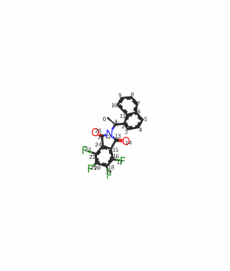 C[C@@H](c1cccc2ccccc12)N1C(=O)c2c(F)c(F)c(F)c(F)c2C1=O